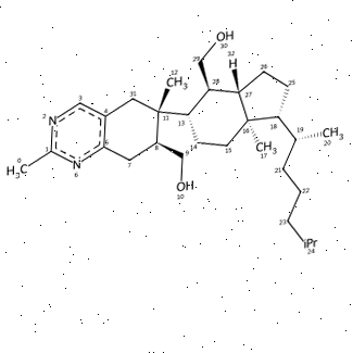 Cc1ncc2c(n1)C[C@H](CO)[C@@](C)([C@H]1CC[C@]3(C)[C@@H]([C@H](C)CCCC(C)C)CC[C@H]3[C@@H]1CO)C2